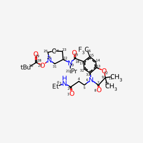 CCNC(=O)CCN1C(=O)C(C)(C)Oc2cc(C(F)(F)F)c(C(=O)N(C(C)C)C3CCCN(OC(=O)C(C)(C)C)C3)cc21